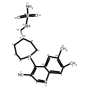 Cc1cc2ncc(C#N)c(N3CCC[C@H](CNS(N)(=O)=O)CC3)c2cc1C